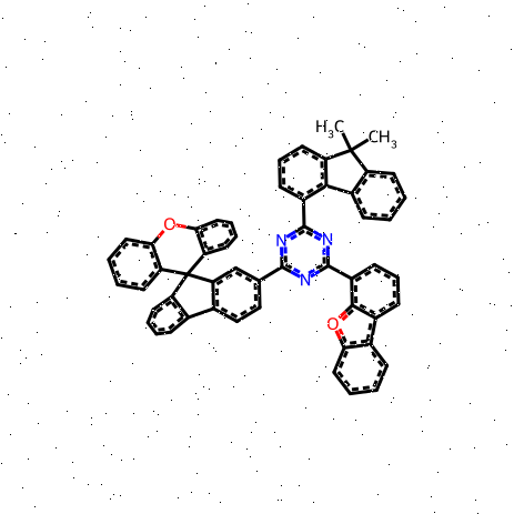 CC1(C)c2ccccc2-c2c(-c3nc(-c4ccc5c(c4)C4(c6ccccc6Oc6ccccc64)c4ccccc4-5)nc(-c4cccc5c4oc4ccccc45)n3)cccc21